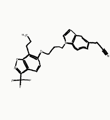 CCCc1c(OCCCn2ccc3cc(CC#N)ccc32)ccc2c(C(F)(F)F)noc12